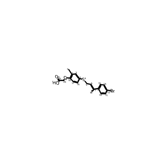 Cc1cc(SCC=C(I)c2ccc(Br)cc2)ccc1OCC(=O)O